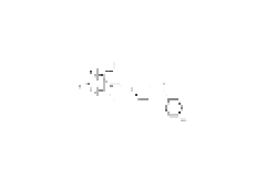 O=C(c1ccc(F)cc1)C1CCN(CCn2c(=O)nc3n(c2=O)CCC3)CC1